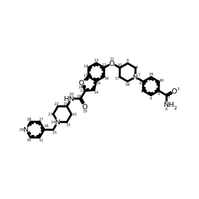 NC(=O)c1ccc(N2CCC(Oc3ccc4oc(C(=O)NC5CCN(Cc6ccncc6)CC5)cc4c3)CC2)cc1